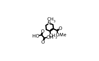 COC(=O)C1=C(C)CCN(C)C1.O=C(O)C(=O)O